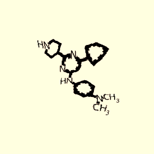 CN(C)c1ccc(Nc2cc(-c3ccccc3)nc(C3CCNCC3)n2)cc1